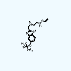 C=CSNCCN(C)Cc1nc2cc(OC(F)(P)P)ccc2[nH]1